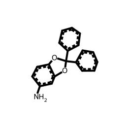 Nc1ccc2c(c1)OC(c1ccccc1)(c1ccccc1)O2